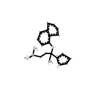 CN(C)CCC(N)(Oc1cccc2ccccc12)c1cccs1